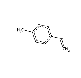 C=[C]c1ccc(C)cc1